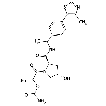 Cc1ncsc1-c1ccc(C(C)NC(=O)[C@H]2C[C@H](O)CN2C(=O)C(OC(N)=O)C(C)(C)C)cc1